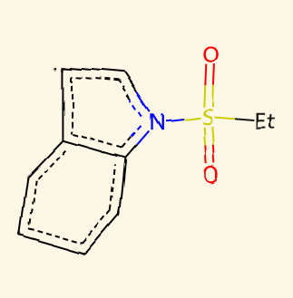 CCS(=O)(=O)n1c[c]c2ccccc21